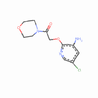 Nc1cc(Cl)cnc1OCC(=O)N1CCOCC1